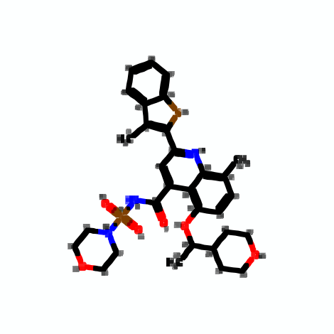 Cc1c(-c2cc(C(=O)NS(=O)(=O)N3CCOCC3)c3c(OC(C)C4CCOCC4)ccc(C)c3n2)sc2ccccc12